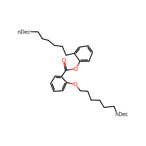 CCCCCCCCCCCCCCCCOc1ccccc1C(=O)Oc1ccccc1CCCCCCCCCCCCCCCC